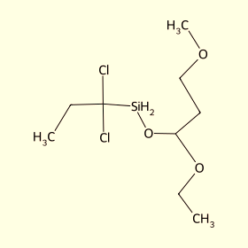 CCOC(CCOC)O[SiH2]C(Cl)(Cl)CC